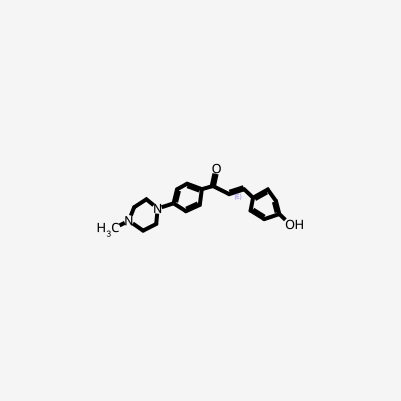 CN1CCN(c2ccc(C(=O)/C=C/c3ccc(O)cc3)cc2)CC1